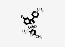 Cc1cc(S(=O)(=O)n2cc(C3=CCN(C)CC3)c3cc(F)ccc32)c(C)o1